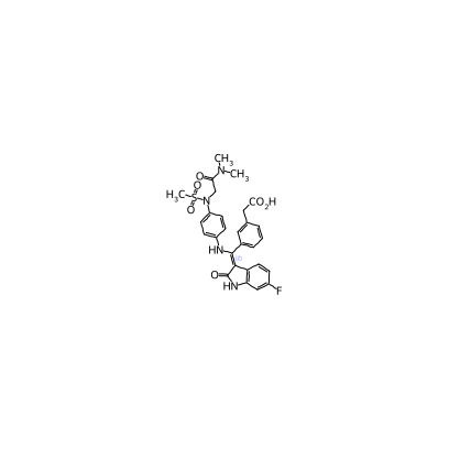 CN(C)C(=O)CN(c1ccc(N/C(=C2\C(=O)Nc3cc(F)ccc32)c2cccc(CC(=O)O)c2)cc1)S(C)(=O)=O